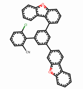 N#Cc1cccc(Cl)c1-c1cc(-c2ccc3c(c2)oc2ccccc23)cc(-c2cccc3oc4ccccc4c23)c1